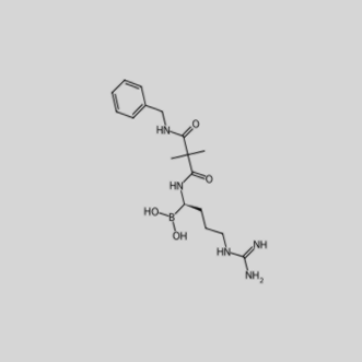 CC(C)(C(=O)NCc1ccccc1)C(=O)N[C@@H](CCCNC(=N)N)B(O)O